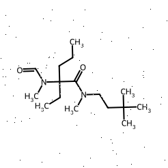 CCCC(CC)(C(=O)N(C)CCC(C)(C)C)N(C)[C]=O